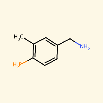 Cc1cc(CN)ccc1P